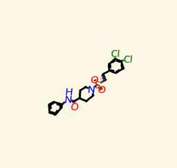 O=C(Nc1ccccc1)C1CCN(S(=O)(=O)/C=C/c2ccc(Cl)c(Cl)c2)CC1